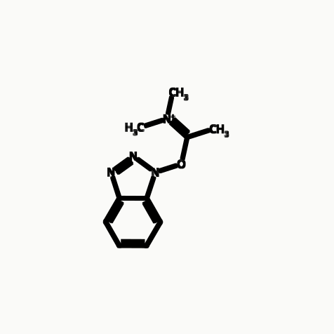 CC(On1nnc2ccccc21)=[N+](C)C